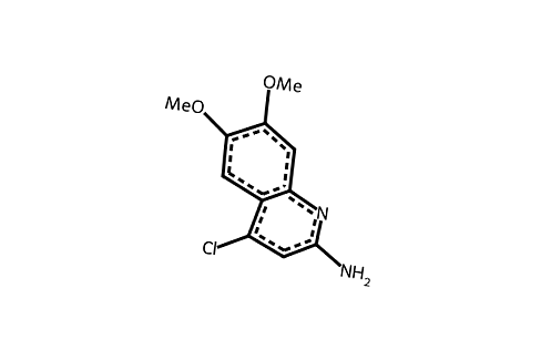 COc1cc2nc(N)cc(Cl)c2cc1OC